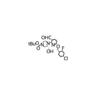 CC(C)(C)OC(=O)N1CCN(c2nc(OCc3ccc(Cl)cc3F)ccc2C=O)[C@H](CO)C1